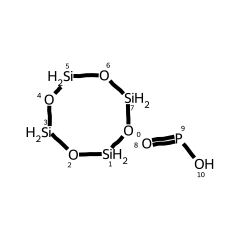 O1[SiH2]O[SiH2]O[SiH2]O[SiH2]1.O=PO